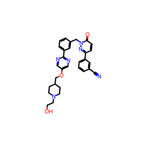 N#Cc1cccc(-c2ccc(=O)n(Cc3cccc(-c4ncc(OCC5CCN(CCO)CC5)cn4)c3)n2)c1